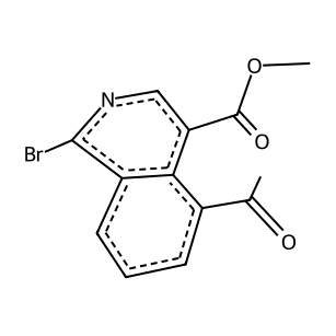 COC(=O)c1cnc(Br)c2cccc(C(C)=O)c12